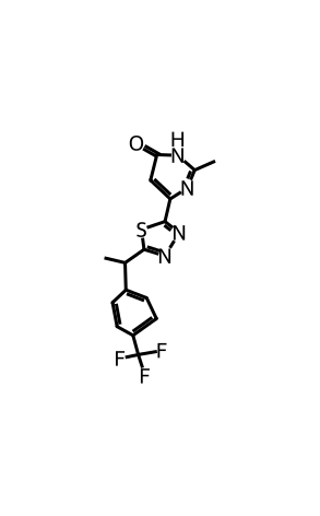 Cc1nc(-c2nnc(C(C)c3ccc(C(F)(F)F)cc3)s2)cc(=O)[nH]1